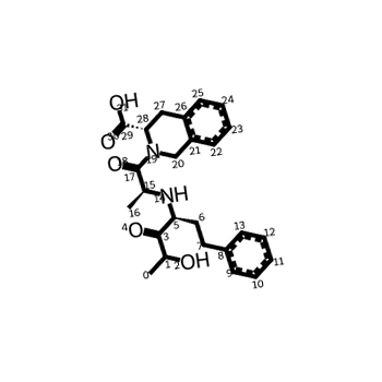 CC(O)C(=O)[C@H](CCc1ccccc1)N[C@@H](C)C(=O)N1Cc2ccccc2C[C@H]1C(=O)O